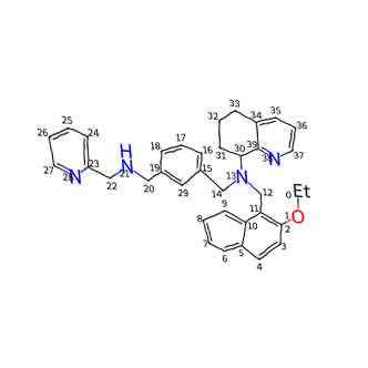 CCOc1ccc2ccccc2c1CN(Cc1cccc(CNCc2ccccn2)c1)C1CCCc2cccnc21